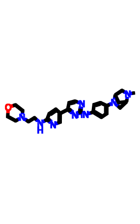 CN1CC2CC1CN2c1ccc(Nc2nccc(-c3ccc(NCCN4CCOCC4)nc3)n2)cc1